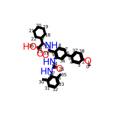 COc1ccc(-c2ccc(C(=O)N[C@H](C(=O)O)C3CCCCC3)c(NC(=O)Nc3c(C)cccc3C)c2)cc1